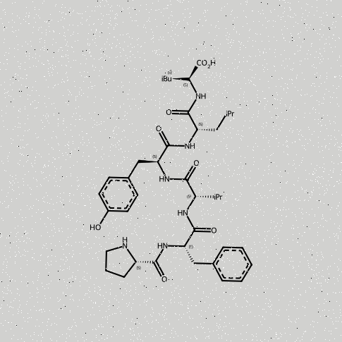 CC[C@H](C)[C@H](NC(=O)[C@H](CC(C)C)NC(=O)[C@H](Cc1ccc(O)cc1)NC(=O)[C@@H](NC(=O)[C@H](Cc1ccccc1)NC(=O)[C@@H]1CCCN1)C(C)C)C(=O)O